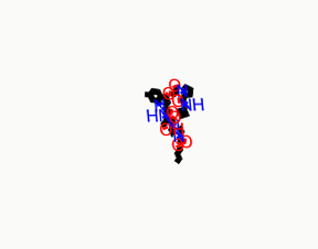 CCCCOC(=O)N1CCN(C(=O)C(CO)NC(=O)c2cc(OCC(=O)N3CCCC3C(=O)NC3CCC3)c3ccc(C)cc3n2)CC1